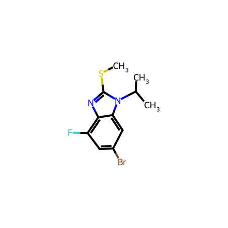 CSc1nc2c(F)cc(Br)cc2n1C(C)C